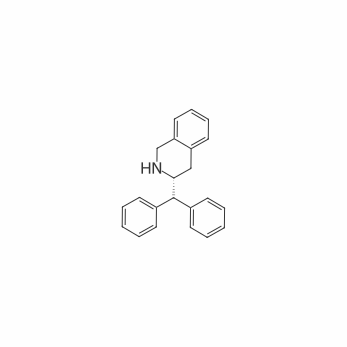 c1ccc(C(c2ccccc2)[C@H]2Cc3ccccc3CN2)cc1